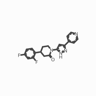 O=C1CC(c2ccc(F)cc2F)CCN1c1cc(-c2ccncc2)n[nH]1